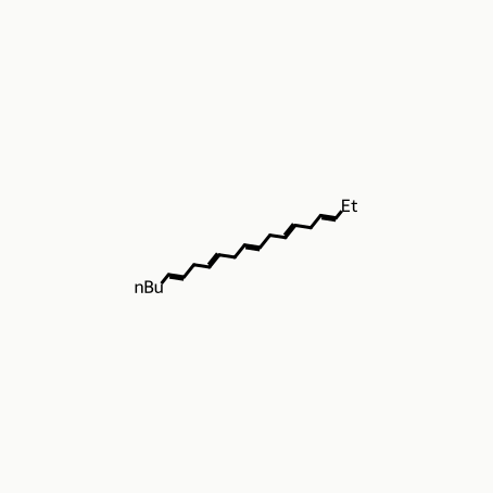 [CH2]CCC/C=C/C/C=C/C/C=C/C/C=C/C/C=C/CC